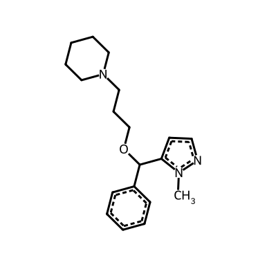 Cn1nccc1C(OCCCN1CCCCC1)c1ccccc1